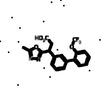 Cc1nnc(C(CC(=O)O)c2cccc(-c3ccccc3OC(F)(F)F)c2)o1